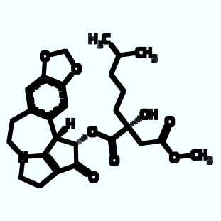 COC(=O)C[C@](O)(CCCC(C)C)C(=O)O[C@@H]1C(=O)C2=C3[C@@H]1c1cc4c(cc1CCN3CC2)OCO4